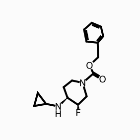 O=C(OCc1ccccc1)N1CC[C@H](NC2CC2)[C@H](F)C1